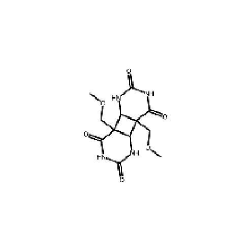 COCC12C(=O)NC(=O)NC1C1(COC)C(=O)NC(=O)NC21